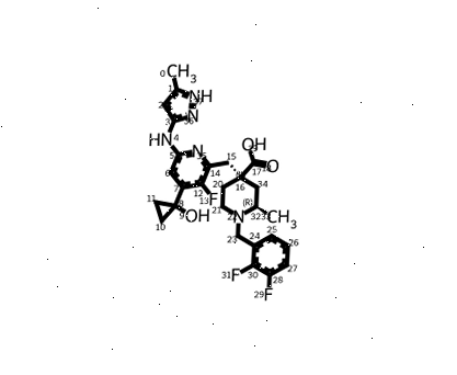 Cc1cc(Nc2cc(C3(O)CC3)c(F)c(C[C@@]3(C(=O)O)CCN(Cc4cccc(F)c4F)[C@H](C)C3)n2)n[nH]1